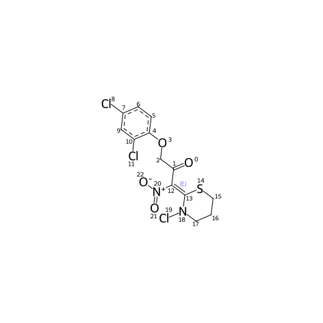 O=C(COc1ccc(Cl)cc1Cl)/C(=C1\SCCCN1Cl)[N+](=O)[O-]